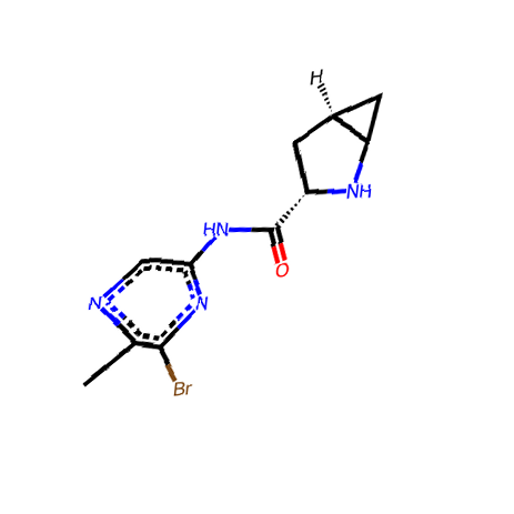 Cc1ncc(NC(=O)[C@@H]2C[C@H]3CC3N2)nc1Br